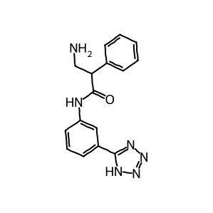 NCC(C(=O)Nc1cccc(-c2nnn[nH]2)c1)c1ccccc1